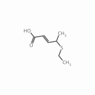 CCSC(C)C=CC(=O)O